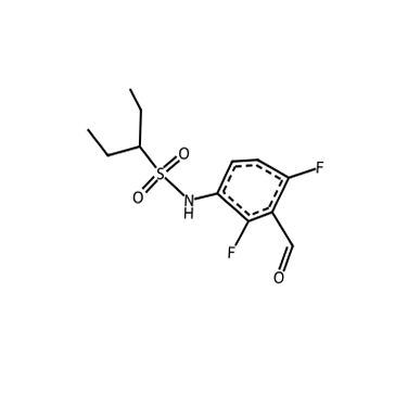 CCC(CC)S(=O)(=O)Nc1ccc(F)c(C=O)c1F